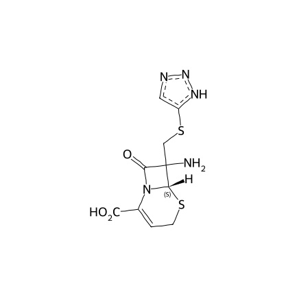 NC1(CSc2cnn[nH]2)C(=O)N2C(C(=O)O)=CCS[C@H]21